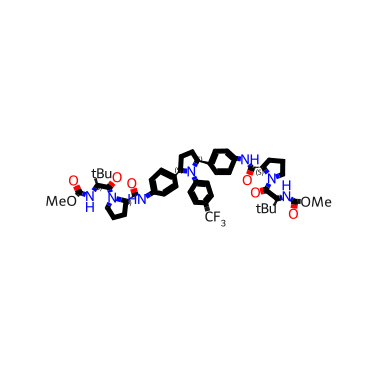 COC(=O)N[C@H](C(=O)N1CCC[C@H]1C(=O)Nc1ccc([C@@H]2CC[C@@H](c3ccc(NC(=O)[C@@H]4CCCN4C(=O)[C@@H](NC(=O)OC)C(C)(C)C)cc3)N2c2ccc(C(F)(F)F)cc2)cc1)C(C)(C)C